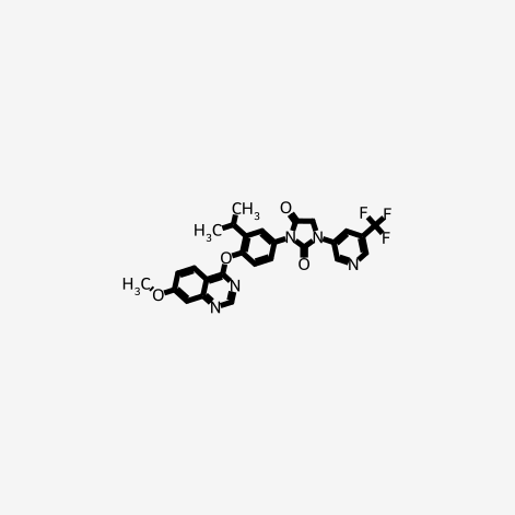 COc1ccc2c(Oc3ccc(N4C(=O)CN(c5cncc(C(F)(F)F)c5)C4=O)cc3C(C)C)ncnc2c1